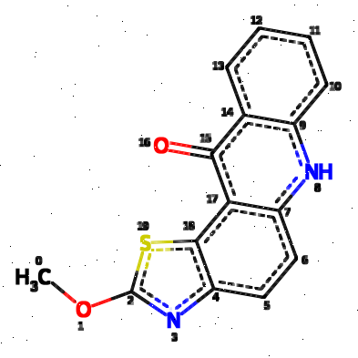 COc1nc2ccc3[nH]c4ccccc4c(=O)c3c2s1